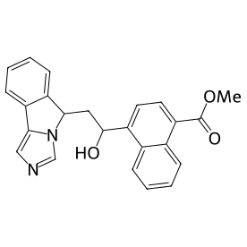 COC(=O)c1ccc(C(O)CC2c3ccccc3-c3cncn32)c2ccccc12